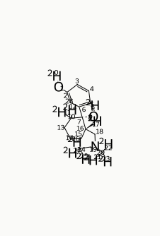 [2H]Oc1cccc([C@]2(O[2H])C([2H])([2H])CCC[C@@]2([2H])CN(C([2H])([2H])[2H])C([2H])([2H])[2H])c1